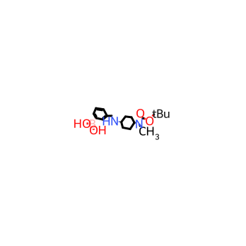 CN(C(=O)OC(C)(C)C)[C@H]1CC[C@H](NCc2cccc(B(O)O)c2)CC1